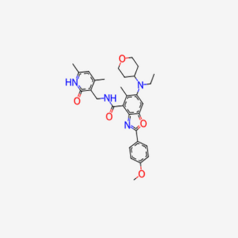 CCN(c1cc2oc(-c3ccc(OC)cc3)nc2c(C(=O)NCc2c(C)cc(C)[nH]c2=O)c1C)C1CCOCC1